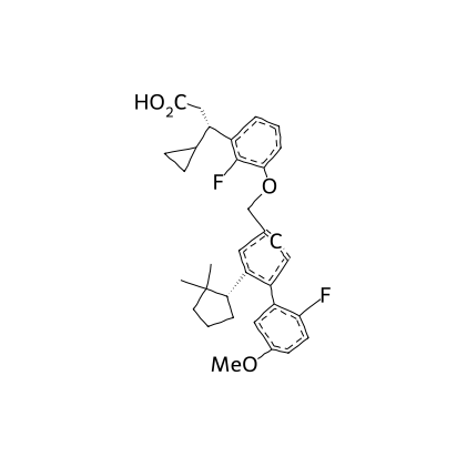 COc1ccc(F)c(-c2ccc(COc3cccc([C@@H](CC(=O)O)C4CC4)c3F)cc2[C@@H]2CCCC2(C)C)c1